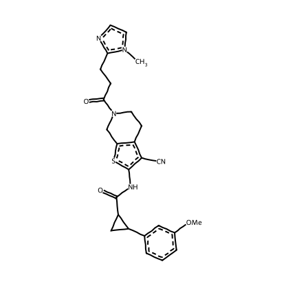 COc1cccc(C2CC2C(=O)Nc2sc3c(c2C#N)CCN(C(=O)CCc2nccn2C)C3)c1